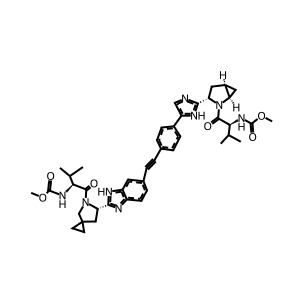 COC(=O)N[C@H](C(=O)N1CC2(CC2)C[C@H]1c1nc2ccc(C#Cc3ccc(-c4cnc([C@@H]5C[C@H]6C[C@H]6N5C(=O)[C@@H](NC(=O)OC)C(C)C)[nH]4)cc3)cc2[nH]1)C(C)C